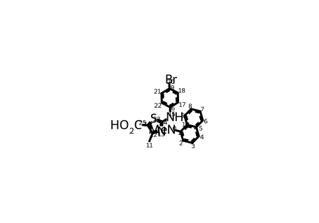 CNc1cccc2ccccc12.Cc1nc(Nc2ccc(Br)cc2)sc1C(=O)O